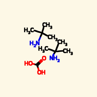 CC(C)(C)N.CC(C)(C)N.O=C(O)O